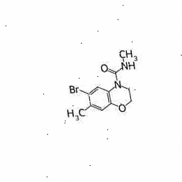 CNC(=O)N1CCOc2cc(C)c(Br)cc21